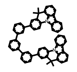 CC1(C)c2cc(-c3cccc(-c4cccc(-c5cccc(-c6ccc7c(c6)C(C)(C)c6cccc8c9ccccc9n-7c68)c5)c4)c3)ccc2-n2c3ccccc3c3cccc1c32